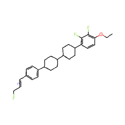 CCOc1ccc(C2CCC(C3CCC(c4ccc(/C=C/CF)cc4)CC3)CC2)c(F)c1F